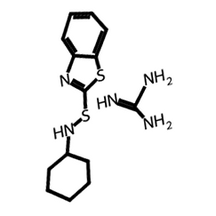 N=C(N)N.c1ccc2sc(SNC3CCCCC3)nc2c1